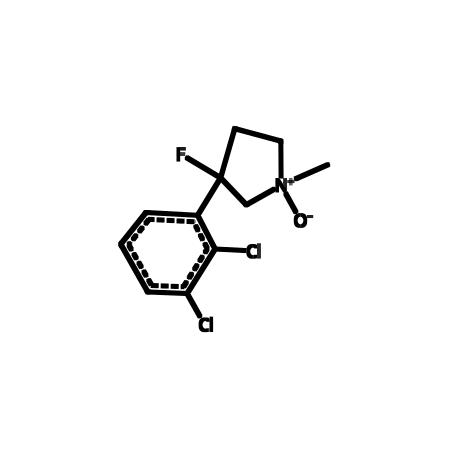 C[N+]1([O-])CCC(F)(c2cccc(Cl)c2Cl)C1